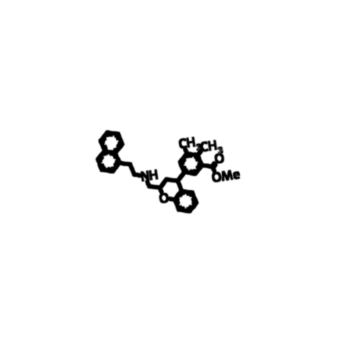 COC(=O)c1cc(C2CC(CNCCc3cccc4ccccc34)Oc3ccccc32)cc(C)c1C